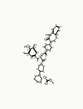 COC(=O)O[C@@H]1CCCCN1C1CCN(C(=O)[C@@H](Cc2cc(C)c(O)c(C)c2)OC(=O)N2CCC(N3CCc4ccccc4NC3=O)CC2)CC1